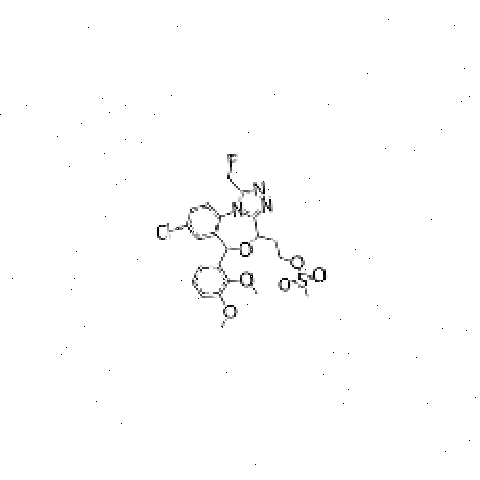 COc1cccc(C2OC(CCOS(C)(=O)=O)c3nnc(CF)n3-c3ccc(Cl)cc32)c1OC